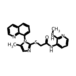 CBc1ncccc1NC(=O)CSc1ncc(C)n1-c1cccc2cccnc12